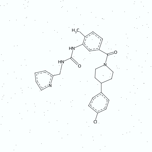 Cc1ccc(C(=O)N2CCC(c3ccc(Cl)cc3)CC2)cc1NC(=O)NCc1ccccn1